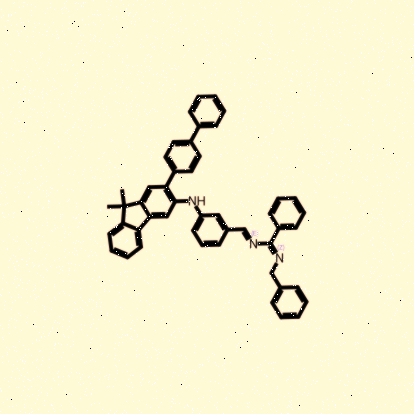 CC1(C)c2ccccc2-c2cc(Nc3cccc(/C=N/C(=N\Cc4ccccc4)c4ccccc4)c3)c(-c3ccc(-c4ccccc4)cc3)cc21